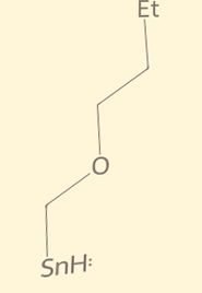 CCCCO[CH2][SnH]